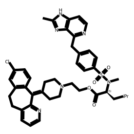 Cc1nc2c(Cc3ccc(S(=O)(=O)N(C)[C@@H](CC(C)C)C(=O)OCCN4CCC(=C5c6ccc(Cl)cc6CCc6cccnc65)CC4)cc3)nccc2[nH]1